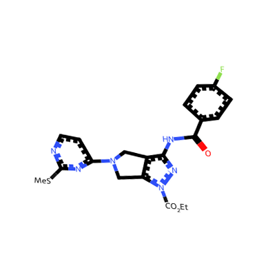 CCOC(=O)n1nc(NC(=O)c2ccc(F)cc2)c2c1CN(c1ccnc(SC)n1)C2